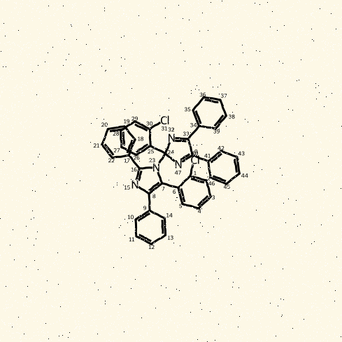 Clc1ccccc1-c1c(-c2ccccc2)nc(-c2ccccc2)n1C1(c2ccccc2Cl)N=C(c2ccccc2)C(c2ccccc2)=N1